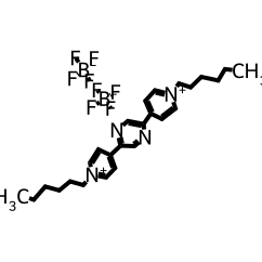 CCCCCC[n+]1ccc(-c2cnc(-c3cc[n+](CCCCCC)cc3)cn2)cc1.F[B-](F)(F)F.F[B-](F)(F)F